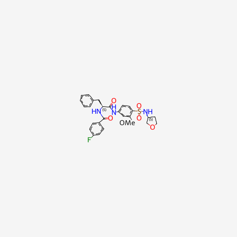 COc1cc(NC(=O)[C@H](Cc2ccccc2)NC(=O)c2ccc(F)cc2)ccc1S(=O)(=O)N[C@H]1CCOC1